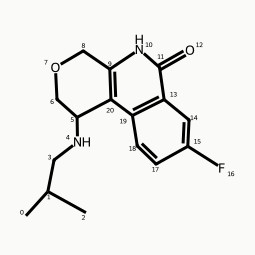 CC(C)CNC1COCc2[nH]c(=O)c3cc(F)ccc3c21